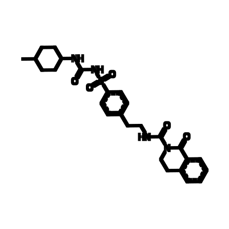 CC1CCC(NC(=O)NS(=O)(=O)c2ccc(CCNC(=O)N3CCc4ccccc4C3=O)cc2)CC1